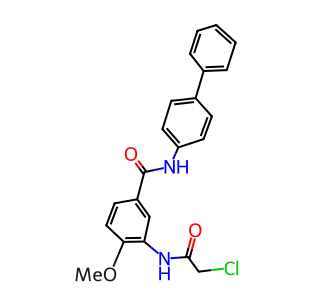 COc1ccc(C(=O)Nc2ccc(-c3ccccc3)cc2)cc1NC(=O)CCl